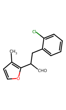 Cc1ccoc1C(C=O)Cc1ccccc1Cl